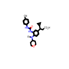 CCN(c1ccc(C(CC(=O)O)C2CC2)cc1NC(=O)Nc1ccc(C#N)cc1)C1CCOCC1